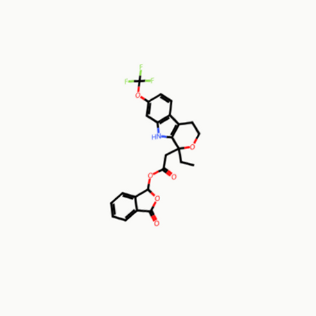 CCC1(CC(=O)OC2OC(=O)c3ccccc32)OCCc2c1[nH]c1cc(OC(F)(F)F)ccc21